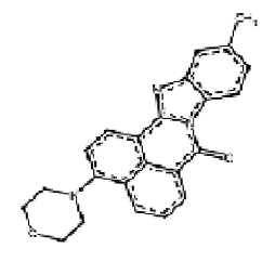 Cc1ccc2c(c1)nc1c3ccc(N4CCOCC4)c4cccc(c(=O)n21)c43